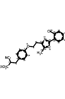 CCOC(=O)C(C#N)Cc1ccc(OCCc2nc(-c3ccccc3Cl)oc2C)cc1